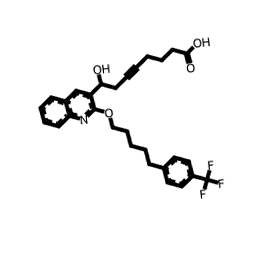 O=C(O)CCCC#CCC(O)c1cc2ccccc2nc1OCCCCCc1ccc(C(F)(F)F)cc1